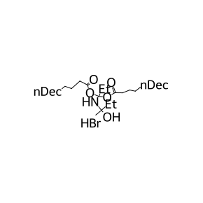 Br.CCCCCCCCCCCCCC(=O)OC(CC)(NC(C)(O)CC)OC(=O)CCCCCCCCCCCCC